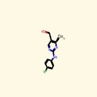 Cc1nc(Nc2ccc(Br)cc2)ncc1CO